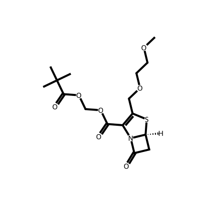 COCCOCC1=C(C(=O)OCOC(=O)C(C)(C)C)N2C(=O)C[C@@H]2S1